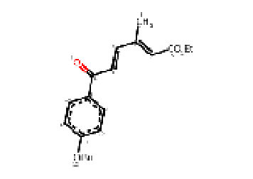 CCOC(=O)C=C(C)C=CC(=O)c1ccc(OCC(C)C)cc1